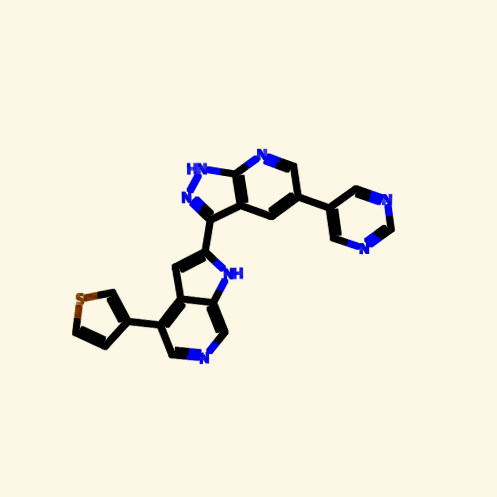 c1ncc(-c2cnc3[nH]nc(-c4cc5c(-c6ccsc6)cncc5[nH]4)c3c2)cn1